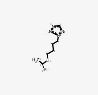 CC(C)[C@@H](C)OCCCCn1ncnn1